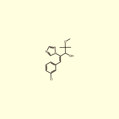 COC(C)(C)C(O)/C(=C/c1cccc(Cl)c1)n1cncn1